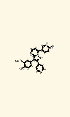 COc1cc(-c2c(-c3ccncc3)nn3c(-c4ccc(Br)nc4)ccnc23)ccc1Cl